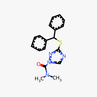 CN(C)C(=O)n1cnc(SC(c2ccccc2)c2ccccc2)n1